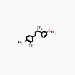 Cc1ccc(/C=C/C(c2cccc(OC(F)(F)F)c2)C(F)(F)F)cc1C(F)(F)F